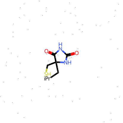 CC(C)CC1(CS)NC(=O)NC1=O